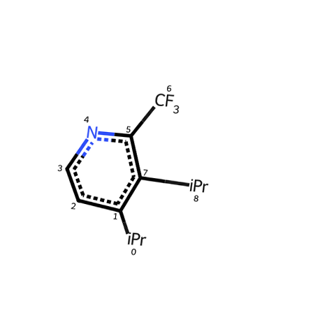 CC(C)c1ccnc(C(F)(F)F)c1C(C)C